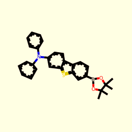 CC1(C)OB(c2ccc3c(c2)sc2cc(N(c4ccccc4)c4ccccc4)ccc23)OC1(C)C